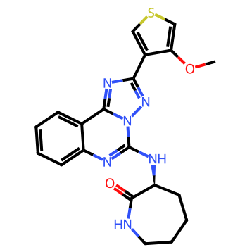 COc1cscc1-c1nc2c3ccccc3nc(N[C@H]3CCCCNC3=O)n2n1